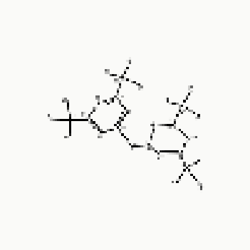 CC(C)(C)C1=CC(=Cc2cc(C(C)(C)C)[s+]c(C(C)(C)C)c2)C=C(C(C)(C)C)S1